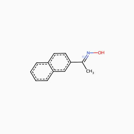 C/C(=N\O)c1ccc2ccccc2c1